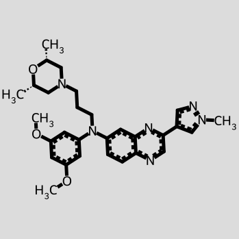 COc1cc(OC)cc(N(CCCN2C[C@@H](C)O[C@@H](C)C2)c2ccc3ncc(-c4cnn(C)c4)nc3c2)c1